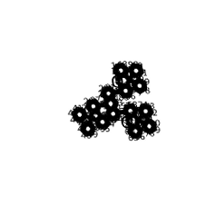 c1ccc(C2(c3ccccc3)c3ccccc3Oc3c(-c4cccc5c(-c6cccc7c6-c6ccccc6C7(c6ccccc6)c6ccccc6)c6cccc(-c7cccc8c7Oc7ccccc7C8(c7ccccc7)c7ccccc7)c6cc45)cccc32)cc1